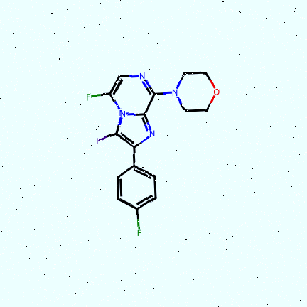 Fc1ccc(-c2nc3c(N4CCOCC4)ncc(F)n3c2I)cc1